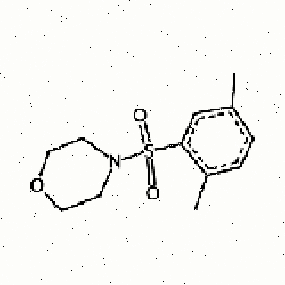 Cc1ccc(C)c(S(=O)(=O)N2CCOCC2)c1